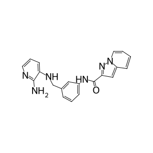 Nc1ncccc1NCc1cccc(NC(=O)c2cc3ccccn3n2)c1